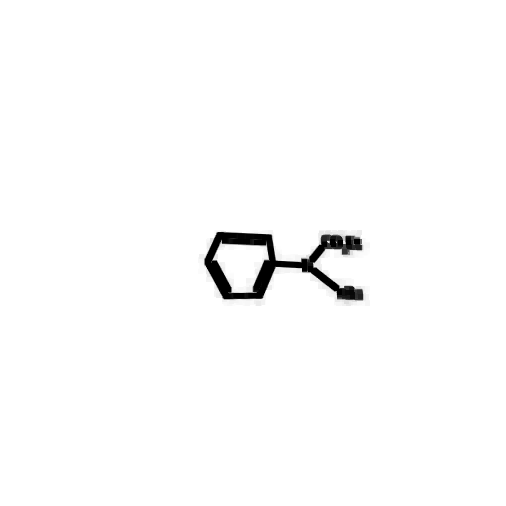 CCCCN(C(=O)OCC)c1ccccc1